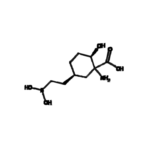 NC1(C(=O)O)C[C@@H](CCB(O)O)CC[C@H]1O